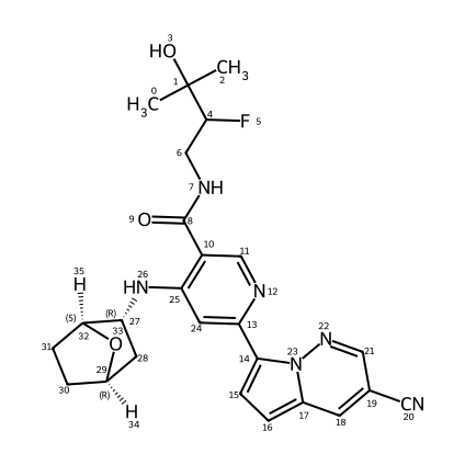 CC(C)(O)C(F)CNC(=O)c1cnc(-c2ccc3cc(C#N)cnn23)cc1N[C@@H]1C[C@H]2CC[C@@H]1O2